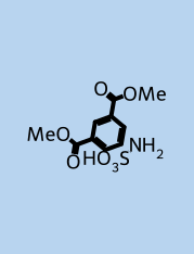 COC(=O)c1cccc(C(=O)OC)c1.NS(=O)(=O)O